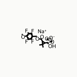 COc1c(F)c(F)c(COC(=O)C2C(C(O)S(=O)(=O)[O-])C2(C)C)c(F)c1F.[Na+]